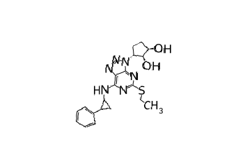 CCSc1nc(NC2CC2c2ccccc2)c2nnn([C@@H]3CC[C@@H](O)[C@H]3O)c2n1